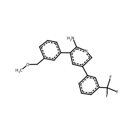 COCc1cccc(-c2cc(-c3cccc(C(F)(F)F)c3)cnc2N)c1